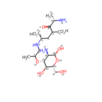 CC(CN[C@H](CC(C(=O)O)C(=O)[C@H](C)N)C(=O)O)O[C@@H]1[C@@H](N)[C@@H](O)O[C@H](CO)[C@H]1O